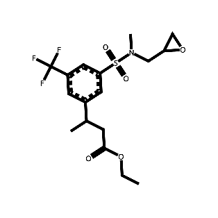 CCOC(=O)CC(C)c1cc(C(F)(F)F)cc(S(=O)(=O)N(C)CC2CO2)c1